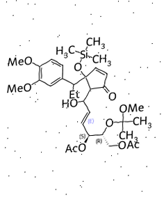 CCC(c1ccc(OC)c(OC)c1)C1(O[Si](C)(C)C)C=CC(=O)C1C(O)/C=C/[C@H](OC(C)=O)[C@@H](COC(C)=O)OC(C)(C)OC